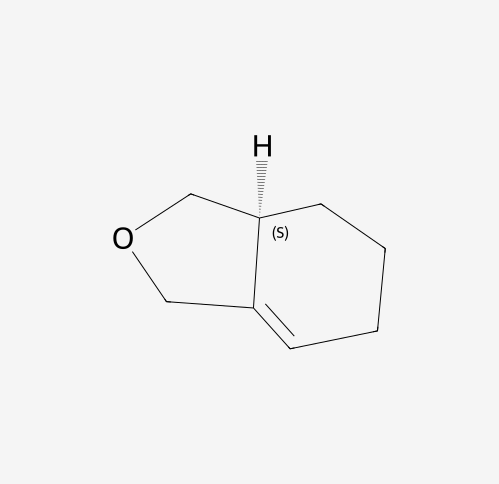 C1=C2COC[C@H]2CCC1